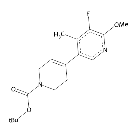 COc1ncc(C2=CCN(C(=O)OC(C)(C)C)CC2)c(C)c1F